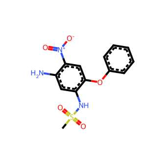 CS(=O)(=O)Nc1cc(N)c([N+](=O)[O-])cc1Oc1ccccc1